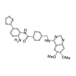 COc1cc2ncnc(NCc3ccc(C(=O)Nc4cc(-c5cccs5)ccc4N)cc3)c2cc1OC